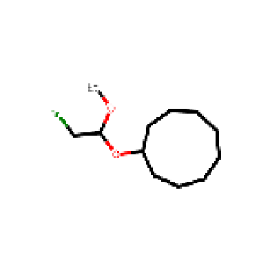 CCOC(CBr)OC1CCCCCCCC1